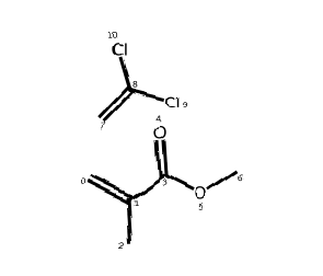 C=C(C)C(=O)OC.C=C(Cl)Cl